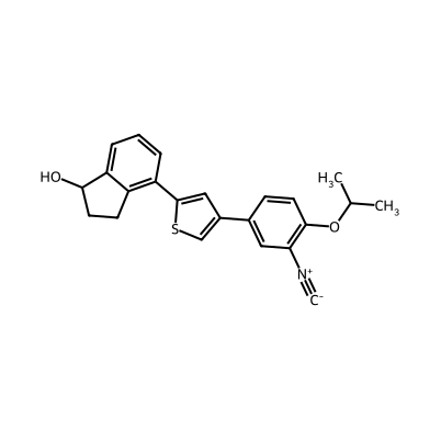 [C-]#[N+]c1cc(-c2csc(-c3cccc4c3CCC4O)c2)ccc1OC(C)C